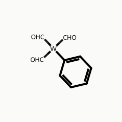 O=[CH][W]([CH]=O)([CH]=O)[c]1ccccc1